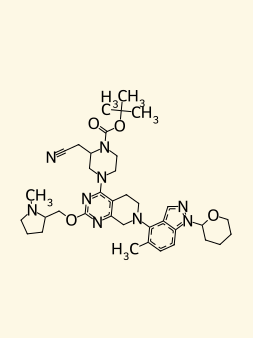 Cc1ccc2c(cnn2C2CCCCO2)c1N1CCc2c(nc(OCC3CCCN3C)nc2N2CCN(C(=O)OC(C)(C)C)C(CC#N)C2)C1